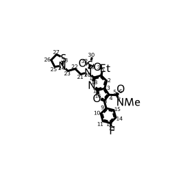 CCc1cc2c(C(=O)NC)c(-c3ccc(F)cc3)oc2nc1N(CCCN1CCCS1)S(C)(=O)=O